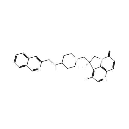 O=c1ccc2ncc(F)c3c2n1C[C@@]3(O)CN1CCC(NCc2cc3ccccc3cn2)CC1